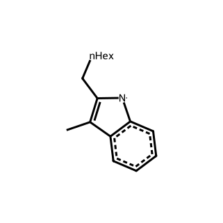 CCCCCCCC1=C(C)c2ccccc2[N]1